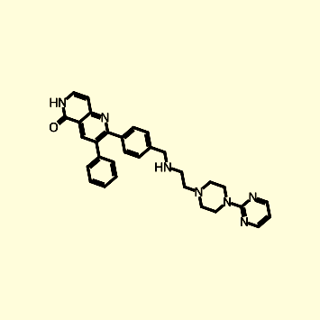 O=c1[nH]ccc2nc(-c3ccc(CNCCN4CCN(c5ncccn5)CC4)cc3)c(-c3ccccc3)cc12